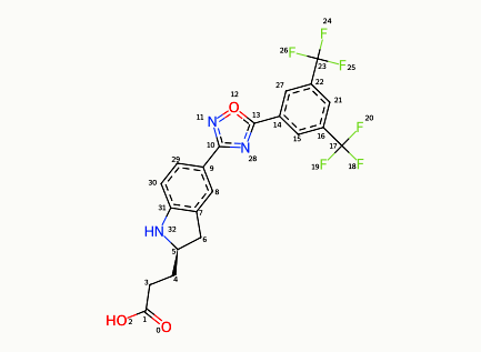 O=C(O)CC[C@@H]1Cc2cc(-c3noc(-c4cc(C(F)(F)F)cc(C(F)(F)F)c4)n3)ccc2N1